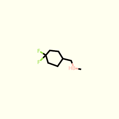 CBCC1CCC(F)(F)CC1